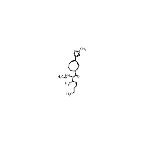 CCC/C=C\C(C)C(NCC)C(=O)N1C/C=C\C(c2cnn(C)c2)=C/CCC1